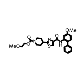 COCCOC(=O)N1CCC(c2nc(C(=O)Nc3cc(OC)ccc3-c3ccccc3)cs2)CC1